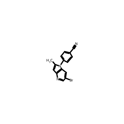 Cc1cc2ncc(Br)cc2n1-c1ccc(C#N)cc1